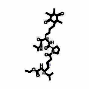 CCOC(=O)N[C@H](/C=C/CC(=O)N1CCC[C@H]1C(=O)N[C@@H](CCCCC1=C(C)C(=O)C(C)=C(C)C1=O)C(=O)NC(C)C)CC(C)C